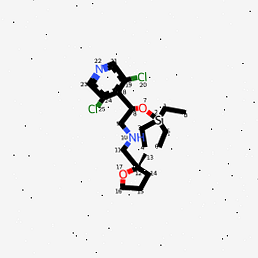 CC[Si](CC)(CC)OC(CNC[C@]1(C)CCCO1)c1c(Cl)cncc1Cl